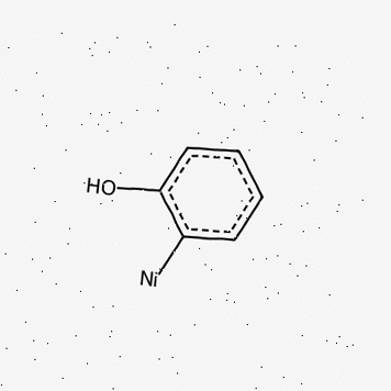 Oc1cccc[c]1[Ni]